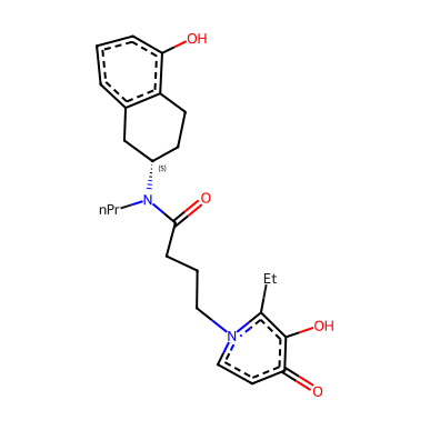 CCCN(C(=O)CCCn1ccc(=O)c(O)c1CC)[C@H]1CCc2c(O)cccc2C1